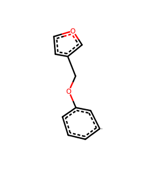 [c]1cccc(OCc2ccoc2)c1